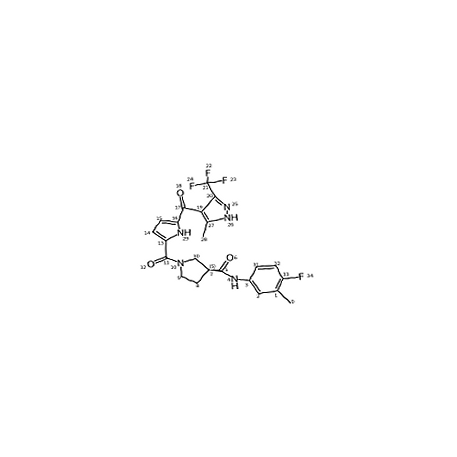 Cc1cc(NC(=O)[C@H]2CCN(C(=O)c3ccc(C(=O)c4c(C(F)(F)F)n[nH]c4C)[nH]3)C2)ccc1F